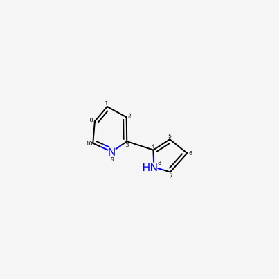 c1ccc(-c2ccc[nH]2)nc1